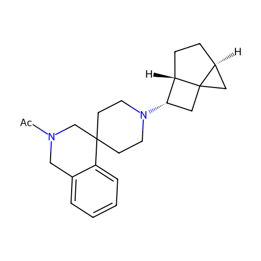 CC(=O)N1Cc2ccccc2C2(CCN([C@H]3CC45C[C@@H]4CC[C@@H]35)CC2)C1